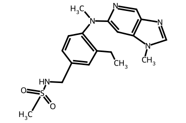 CCc1cc(CNS(C)(=O)=O)ccc1N(C)c1cc2c(cn1)ncn2C